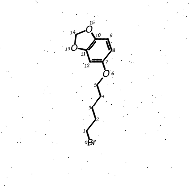 BrCCCCCOc1ccc2c(c1)OCO2